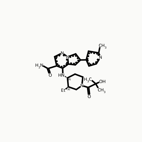 CC[C@@H]1CN(C(=O)C(C)(C)O)CC[C@H]1Nc1c(C(N)=O)cnn2cc(-c3ccnc(C)c3)cc12